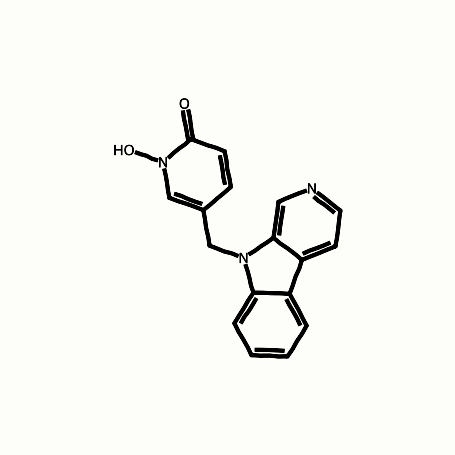 O=c1ccc(Cn2c3ccccc3c3ccncc32)cn1O